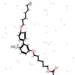 C=CC(=O)OCCCCCCOc1ccc(C(=O)O)c(-c2ccc(OCCCCCCBr)cc2)c1